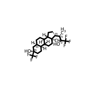 C[C@@H]([C@H]1CC[C@H]2[C@@H]3CC[C@@H]4C[C@@](O)(C(F)(F)F)CC[C@@H]4[C@H]3CC[C@]12C)[C@H](O)C(F)(F)F